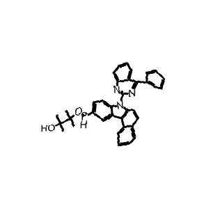 CC(C)(O)C(C)(C)OPc1ccc2c(c1)c1c3ccccc3ccc1n2-c1nc(-c2ccccc2)c2ccccc2n1